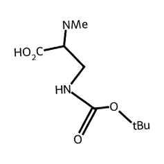 CNC(CNC(=O)OC(C)(C)C)C(=O)O